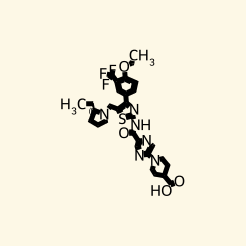 CCOc1ccc(-c2nc(NC(=O)c3cnc(N4CCC(C(=O)O)CC4)cn3)sc2CN2CCC[C@H]2CC)cc1C(F)(F)F